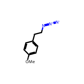 COc1ccc([CH]CN=[N+]=[N-])cc1